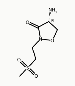 CS(=O)(=O)CCN1OC[C@@H](N)C1=O